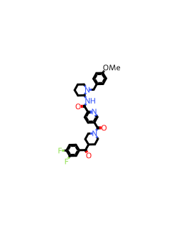 COc1ccc(CN2CCCCC2NC(=O)c2ccc(C(=O)N3CCC(C(=O)c4ccc(F)c(F)c4)CC3)cn2)cc1